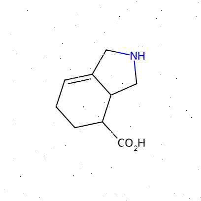 O=C(O)C1CCC=C2CNCC21